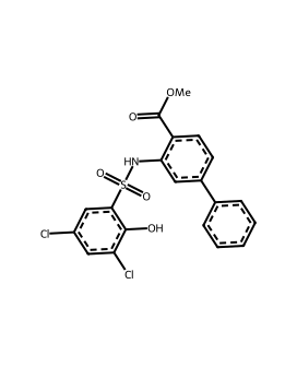 COC(=O)c1ccc(-c2ccccc2)cc1NS(=O)(=O)c1cc(Cl)cc(Cl)c1O